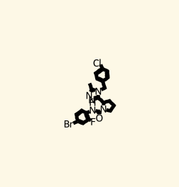 Cc1nnc(C2CCCN2C(=O)Nc2ccc(Br)cc2F)n1Cc1ccc(Cl)cc1